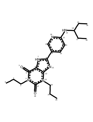 CCCn1c(=O)c2[nH]c(-c3ccc(NC(CC)CC)nc3)nc2n(CCC)c1=O